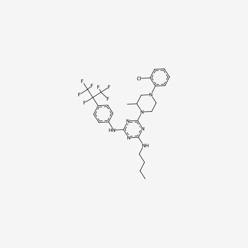 CCCCNc1nc(Nc2ccc(C(F)(C(F)(F)F)C(F)(F)F)cc2)nc(N2CCN(c3ccccc3Cl)CC2C)n1